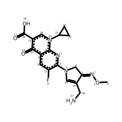 CON=C1CN(c2nc3c(cc2F)c(=O)c(C(=O)O)cn3C2CC2)C=C1CN